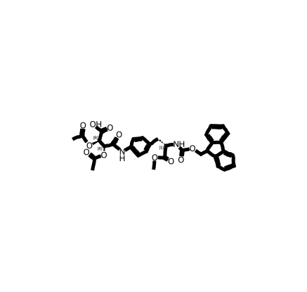 COC(=O)[C@H](Cc1ccc(NC(=O)[C@H](OC(C)=O)[C@@H](OC(C)=O)C(=O)O)cc1)NC(=O)OCC1c2ccccc2-c2ccccc21